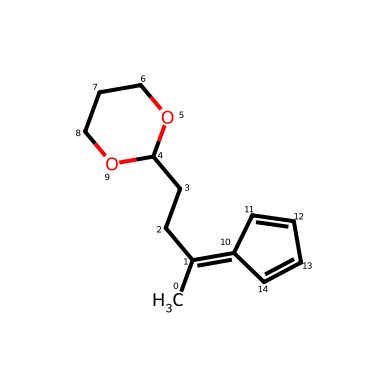 CC(CCC1OCCCO1)=C1C=CC=C1